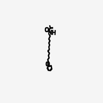 C=C(C)C(=O)NCCCCCCCCCCCCCCOc1ccccc1